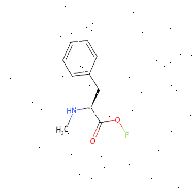 CN[C@@H](Cc1ccccc1)C(=O)OF